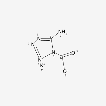 Nc1nnnn1C(=O)[O-].[K+]